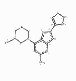 Nc1cc(N2CCCC(O)C2)c2sc(C3=CCNN3)cc2n1